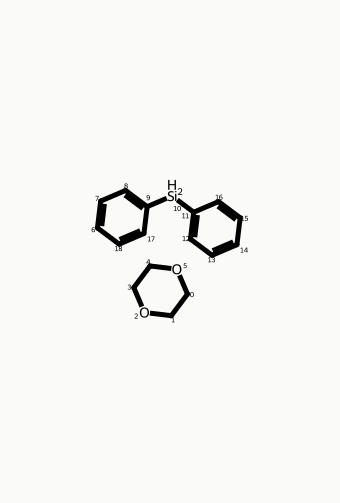 C1COCCO1.c1ccc([SiH2]c2ccccc2)cc1